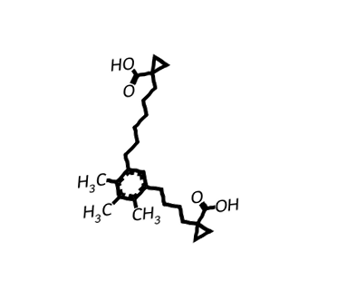 Cc1c(CCCCCCC2(C(=O)O)CC2)cc(CCCCC2(C(=O)O)CC2)c(C)c1C